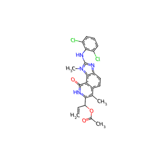 C=CC(OC(C)=O)c1[nH]c(=O)c2c(ccc3nc(Nc4c(Cl)cccc4Cl)n(C)c32)c1C